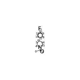 CC(=O)N1CCC(c2ccc(F)cc2)CC1